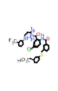 C/N=C(\C=C/Nc1cccc(C(F)(F)F)c1)NC(=O)c1cc(Cl)ccc1NC(=O)c1cccc(CSc2cccc(CC(=O)O)c2)c1